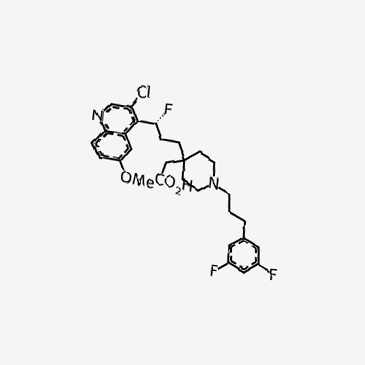 COc1ccc2ncc(Cl)c([C@H](F)CCC3(CC(=O)O)CCN(CCCc4cc(F)cc(F)c4)CC3)c2c1